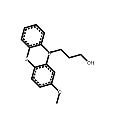 COc1ccc2c(c1)N(CCCO)c1ccccc1S2